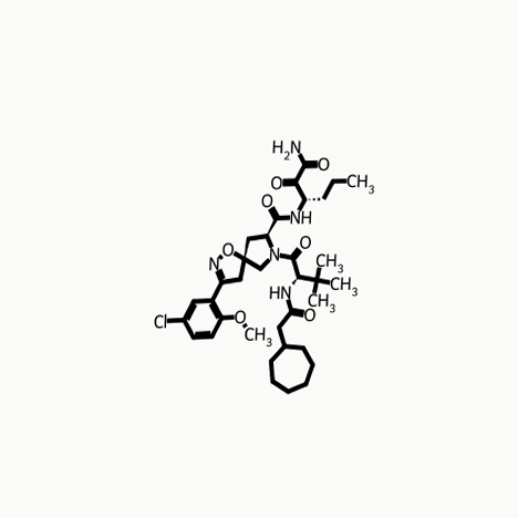 CCC[C@H](NC(=O)[C@@H]1C[C@]2(CC(c3cc(Cl)ccc3OC)=NO2)CN1C(=O)[C@@H](NC(=O)CC1CCCCCC1)C(C)(C)C)C(=O)C(N)=O